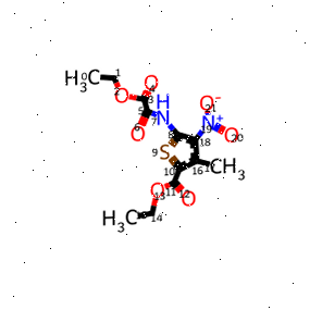 CCOC(=O)C(=O)Nc1sc(C(=O)OCC)c(C)c1[N+](=O)[O-]